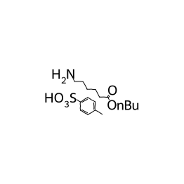 CCCCOC(=O)CCCCCN.Cc1ccc(S(=O)(=O)O)cc1